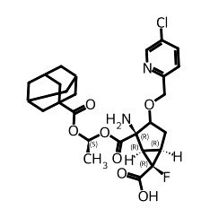 C[C@@H](OC(=O)C12CC3CC(CC(C3)C1)C2)OC(=O)[C@]1(N)C(OCc2ccc(Cl)cn2)C[C@@H]2[C@H]1[C@@]2(F)C(=O)O